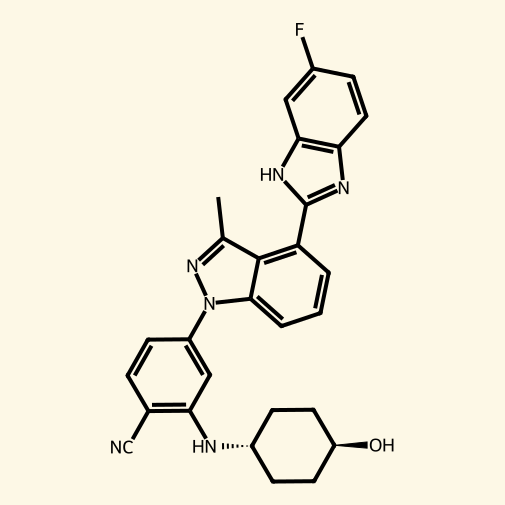 Cc1nn(-c2ccc(C#N)c(N[C@H]3CC[C@H](O)CC3)c2)c2cccc(-c3nc4ccc(F)cc4[nH]3)c12